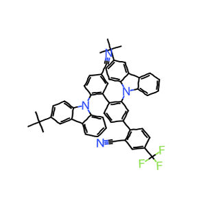 CC(C)(C)c1ccc2c(c1)c1ccccc1n2-c1ccc(C#N)cc1-c1ccc(-c2ccc(C(F)(F)F)cc2C#N)cc1-n1c2ccccc2c2cc(C(C)(C)C)ccc21